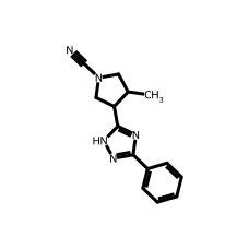 CC1CN(C#N)CC1c1nc(-c2ccccc2)n[nH]1